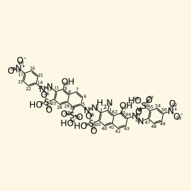 Nc1c(N=Nc2ccc3c(O)c(N=Nc4ccc([N+](=O)[O-])cc4)c(S(=O)(=O)O)cc3c2S(=O)(=O)O)c(S(=O)(=O)O)cc2ccc(N=Nc3ccc([N+](=O)[O-])cc3S(=O)(=O)O)c(O)c12